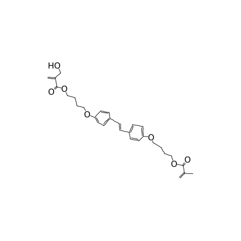 C=C(C)C(=O)OCCCCOc1ccc(/C=C/c2ccc(OCCCCOC(=O)C(=C)CO)cc2)cc1